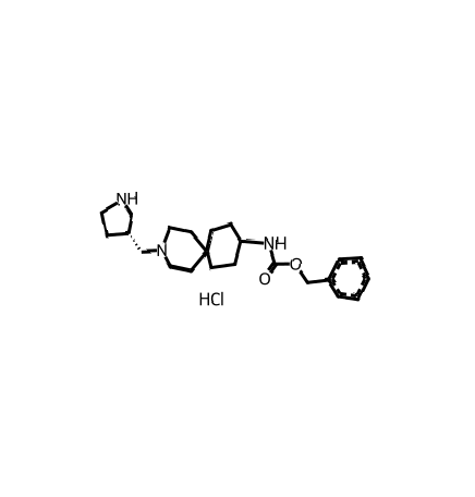 Cl.O=C(NC1CCC2(CC1)CCN(C[C@@H]1CCNC1)CC2)OCc1ccccc1